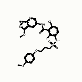 COc1ccc(OCCCS(=O)(=O)Nc2ccc(Cl)c(C(=O)Nc3cnc4[nH]nc(OC)c4c3)c2F)cc1